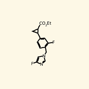 CCOC(=O)C1CC1c1ccc(Cn2cnc(F)c2)c(F)c1